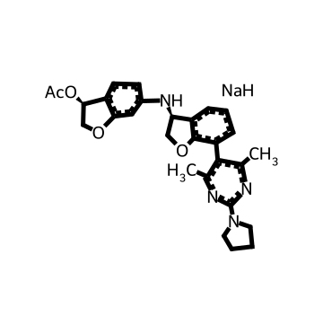 CC(=O)O[C@@H]1COc2cc(N[C@@H]3COc4c(-c5c(C)nc(N6CCCC6)nc5C)cccc43)ccc21.[NaH]